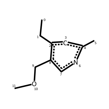 CCc1cc(C)ncc1COC